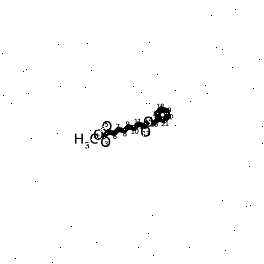 COC(=O)C(=O)CCCCCCC(=O)OCc1ccccc1